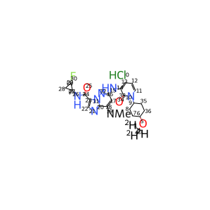 Cl.[2H]C([2H])([2H])OC1CCC(n2cccc(Nc3cc(NC)c4ncc(C(=O)N[C@@H]5C[C@@H]5F)n4n3)c2=O)CC1